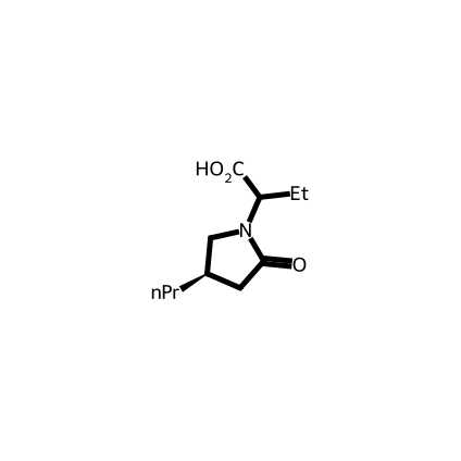 CCC[C@@H]1CC(=O)N(C(CC)C(=O)O)C1